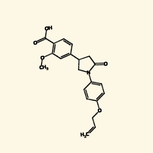 C=CCOc1ccc(N2CC(c3ccc(C(=O)O)c(OC)c3)CC2=O)cc1